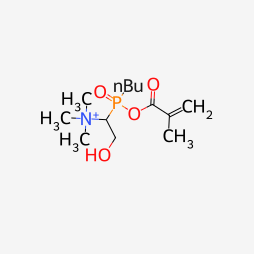 C=C(C)C(=O)OP(=O)(CCCC)C(CO)[N+](C)(C)C